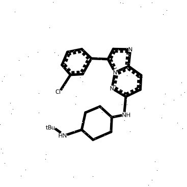 CC(C)(C)NC1CCC(Nc2ccc3ncc(-c4cccc(Cl)c4)n3n2)CC1